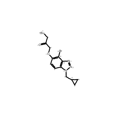 CC(C)(C)CC(=O)COc1ccc2c(nnn2CC2CC2)c1Br